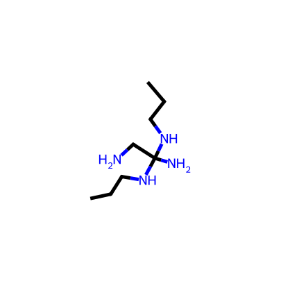 CCCNC(N)(CN)NCCC